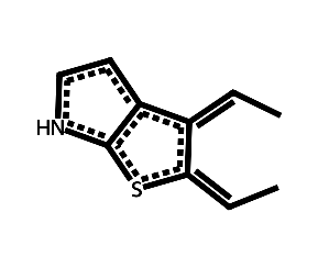 C/C=c1\c(=C/C)sc2[nH]ccc12